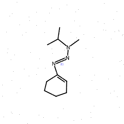 CC(C)N(C)/N=N/C1=CCCCC1